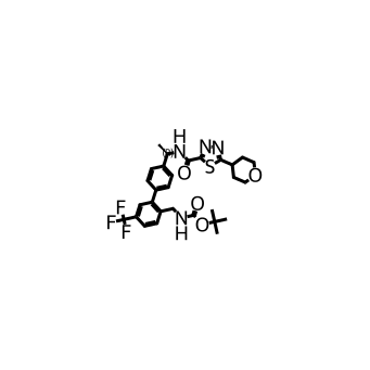 C[C@@H](NC(=O)c1nnc(C2CCOCC2)s1)c1ccc(-c2cc(C(F)(F)F)ccc2CNC(=O)OC(C)(C)C)cc1